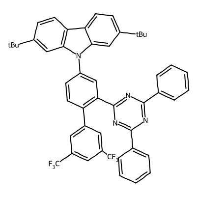 CC(C)(C)c1ccc2c3ccc(C(C)(C)C)cc3n(-c3ccc(-c4cc(C(F)(F)F)cc(C(F)(F)F)c4)c(-c4nc(-c5ccccc5)nc(-c5ccccc5)n4)c3)c2c1